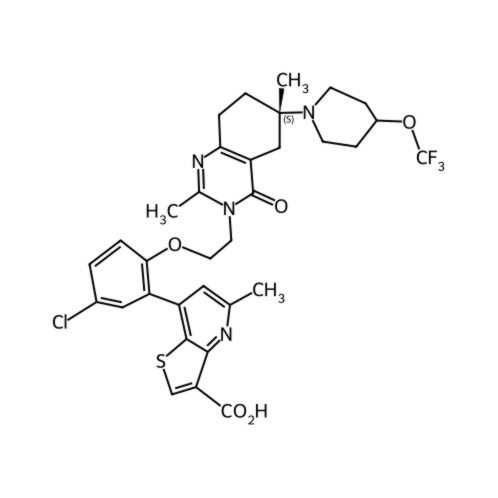 Cc1cc(-c2cc(Cl)ccc2OCCn2c(C)nc3c(c2=O)C[C@@](C)(N2CCC(OC(F)(F)F)CC2)CC3)c2scc(C(=O)O)c2n1